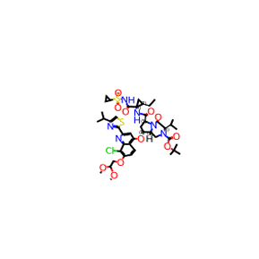 CC[C@@H]1C[C@]1(NC(=O)[C@@H]1C[C@@H](Oc2cc(-c3nc(C(C)C)cs3)nc3c(Cl)c(OCC(OC)OC)ccc23)[C@H]2CN(C(=O)OC(C)(C)C)[C@H](C(C)C)C(=O)N21)C(=O)NS(=O)(=O)C1CC1